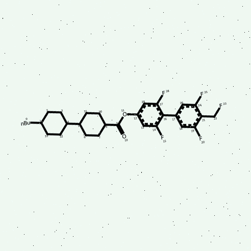 CCCCC1CCC(C2CCC(C(=O)Oc3cc(F)c(-c4cc(F)c(CF)c(F)c4)c(F)c3)CC2)CC1